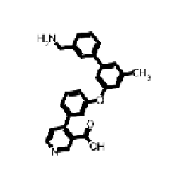 Cc1cc(Oc2cccc(-c3ccncc3C(=O)O)c2)cc(-c2cccc(CN)c2)c1